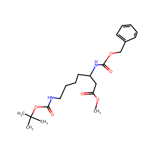 COC(=O)CC(CCCCNC(=O)OC(C)(C)C)NC(=O)OCc1ccccc1